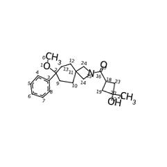 COC1(c2ccccc2)CCC2(CC1)CN(C(=O)C1CC(C)(O)C1)C2